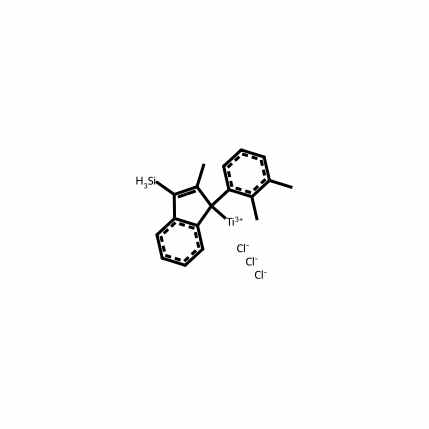 CC1=C([SiH3])c2ccccc2[C]1([Ti+3])c1cccc(C)c1C.[Cl-].[Cl-].[Cl-]